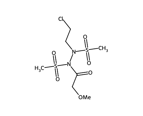 COCC(=O)N(N(CCCl)S(C)(=O)=O)S(C)(=O)=O